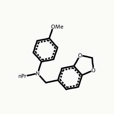 CCCN(Cc1ccc2c(c1)OCO2)c1ccc(OC)cc1